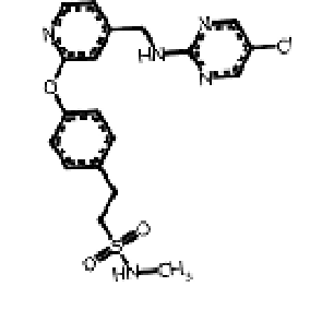 CNS(=O)(=O)CCc1ccc(Oc2cc(CNc3ncc(Cl)cn3)ccn2)cc1